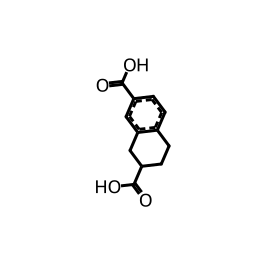 O=C(O)c1ccc2c(c1)CC(C(=O)O)CC2